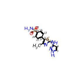 Cc1nc(Nc2cc[nH]n2)sc1-c1ccc(S(N)(=O)=O)cc1